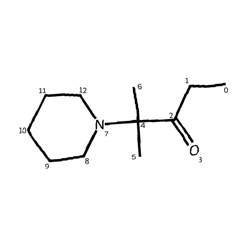 CCC(=O)C(C)(C)N1CCCCC1